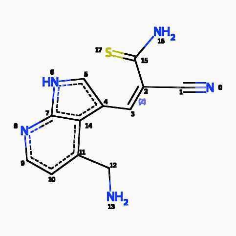 N#C/C(=C/c1c[nH]c2nccc(CN)c12)C(N)=S